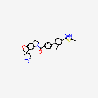 Cc1nnc(-c2ccc(-c3ccc(C(=O)N4CCc5cc6c(cc54)C4(CCN(C)CC4)CO6)cc3)c(C)c2)s1